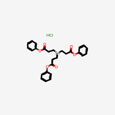 Cl.O=C(C[CH2][Sn]([CH2]CC(=O)Oc1ccccc1)[CH2]CC(=O)Oc1ccccc1)Oc1ccccc1